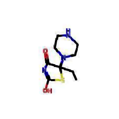 CCC1(N2CCNCC2)SC(O)=NC1=O